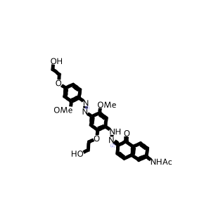 COc1cc(OCCO)ccc1/N=N/c1cc(OCCO)c(N/N=C2/C=Cc3cc(NC(C)=O)ccc3C2=O)cc1OC